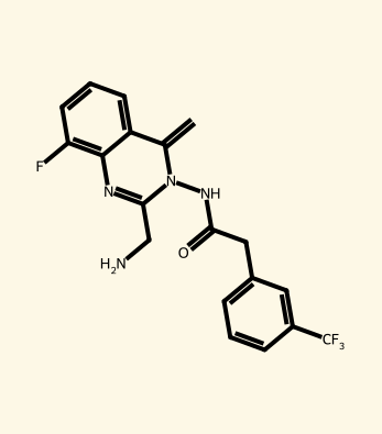 C=C1c2cccc(F)c2N=C(CN)N1NC(=O)Cc1cccc(C(F)(F)F)c1